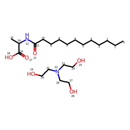 CCCCCCCCCCCC(=O)NC(C)C(=O)O.OCCN(CCO)CCO